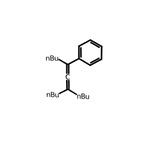 CCCCC(=C=C(CCCC)c1ccccc1)CCCC